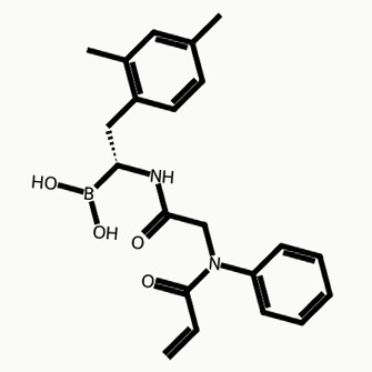 C=CC(=O)N(CC(=O)N[C@@H](Cc1ccc(C)cc1C)B(O)O)c1ccccc1